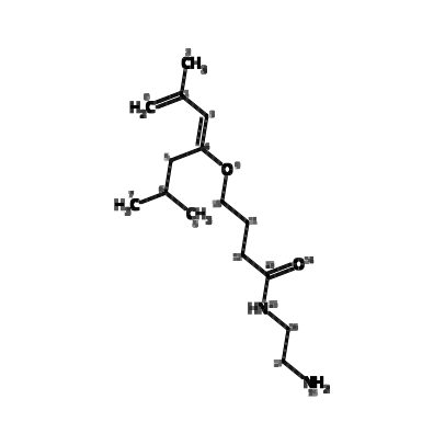 C=C(C)/C=C(\CC(C)C)OCCCC(=O)NCCN